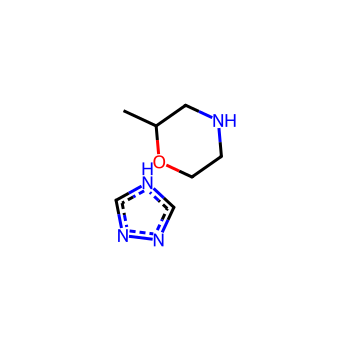 CC1CNCCO1.c1nnc[nH]1